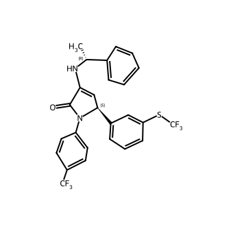 C[C@@H](NC1=C[C@@H](c2cccc(SC(F)(F)F)c2)N(c2ccc(C(F)(F)F)cc2)C1=O)c1ccccc1